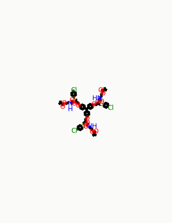 C=C(C)C(=O)OCCNC(=O)OC(COc1ccc(C(c2ccc(OCC(CSc3ccc(Cl)cc3)OC(=O)NCCOC(=O)C(=C)C)cc2)c2ccc(OCC(CSc3ccc(Cl)cc3)OC(=O)NCCOC(=O)C(=C)C)cc2)cc1)CSc1ccc(Cl)cc1